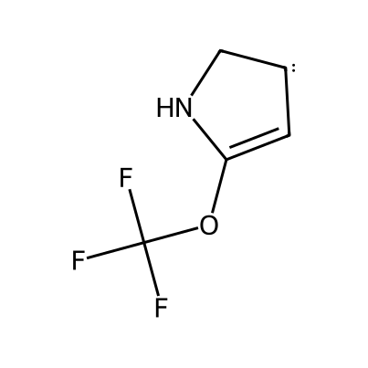 FC(F)(F)OC1=C[C]CN1